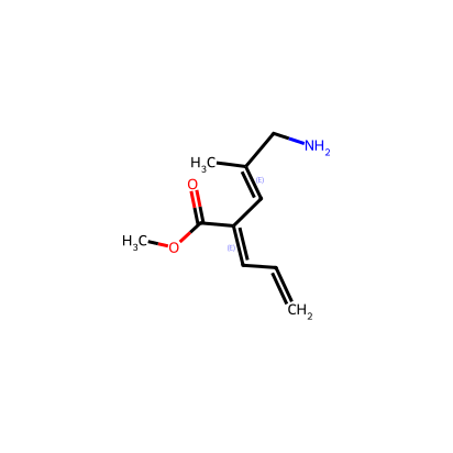 C=C/C=C(\C=C(/C)CN)C(=O)OC